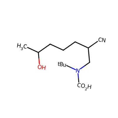 CC(O)CCCC(C#N)CN(C(=O)O)C(C)(C)C